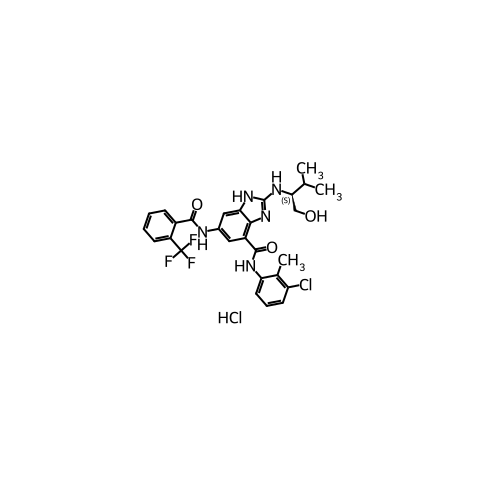 Cc1c(Cl)cccc1NC(=O)c1cc(NC(=O)c2ccccc2C(F)(F)F)cc2[nH]c(N[C@H](CO)C(C)C)nc12.Cl